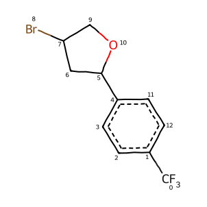 FC(F)(F)c1ccc(C2CC(Br)CO2)cc1